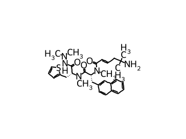 CN(C)NC(=O)[C@@H](Cc1cccs1)N(C)C(=O)[C@@H](Cc1ccc2ccccc2c1)N(C)C(=O)/C=C/CC(C)(C)N